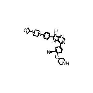 N#Cc1cc(-c2ncnc3[nH]c(-c4ccc(N5CCN(C6COC6)CC5)cc4)nc23)ccc1OC1CCNCC1